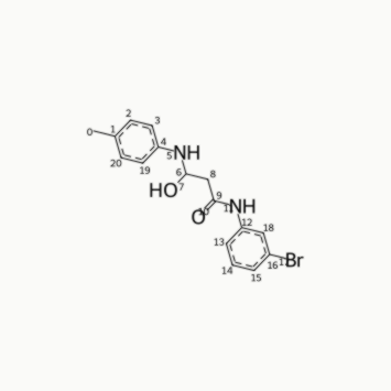 Cc1ccc(NC(O)CC(=O)Nc2cccc(Br)c2)cc1